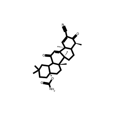 C[C@@H]1C(=O)C(C#N)=C[C@]2(C)C3=CC(=O)C4C5CC(C)(C)CC[C@]5(OC(N)=O)CC[C@@]4(C)[C@]3(C)CCC12